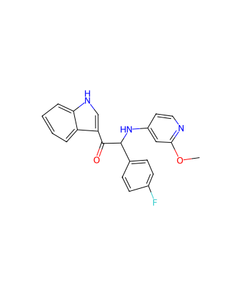 COc1cc(NC(C(=O)c2c[nH]c3ccccc23)c2ccc(F)cc2)ccn1